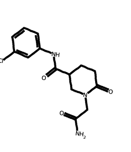 NC(=O)CN1CC(C(=O)Nc2cccc(Cl)c2)CCC1=O